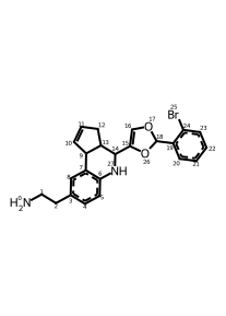 NCCc1ccc2c(c1)C1C=CCC1C(C1=COC(c3ccccc3Br)O1)N2